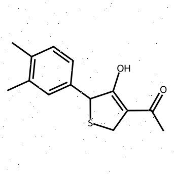 CC(=O)C1=C(O)C(c2ccc(C)c(C)c2)SC1